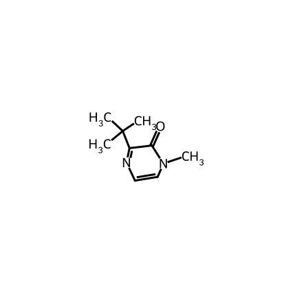 Cn1ccnc(C(C)(C)C)c1=O